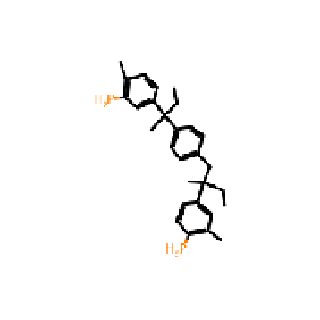 CCC(C)(Cc1ccc(C(C)(CC)c2ccc(C)c(P)c2)cc1)c1ccc(P)c(C)c1